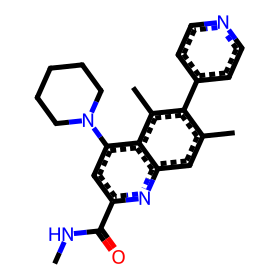 CNC(=O)c1cc(N2CCCCC2)c2c(C)c(-c3ccncc3)c(C)cc2n1